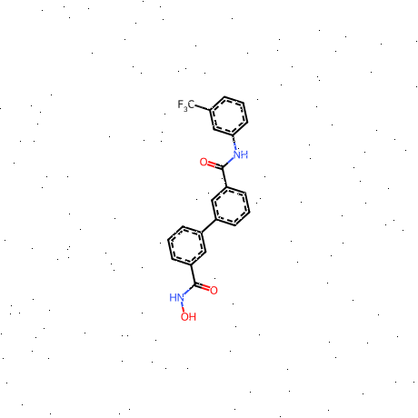 O=C(NO)c1cccc(-c2cccc(C(=O)Nc3cccc(C(F)(F)F)c3)c2)c1